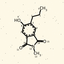 CCCc1cc2c(cc1O)C(=O)N(C)C2=O